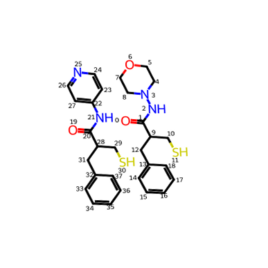 O=C(NN1CCOCC1)C(CS)Cc1ccccc1.O=C(Nc1ccncc1)C(CS)Cc1ccccc1